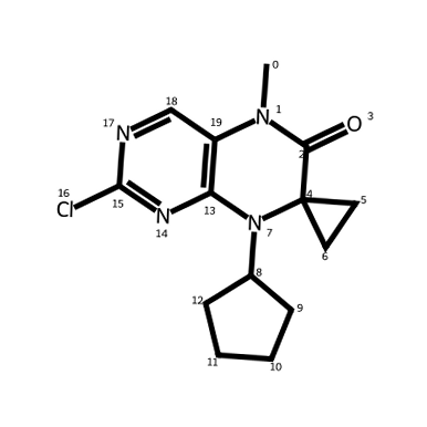 CN1C(=O)C2(CC2)N(C2CCCC2)c2nc(Cl)ncc21